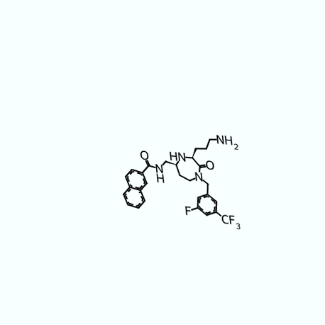 NCCC[C@@H]1N[C@H](CNC(=O)c2ccc3ccccc3c2)CCN(Cc2cc(F)cc(C(F)(F)F)c2)C1=O